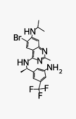 Cc1nc(N[C@H](C)c2cc(N)cc(C(F)(F)F)c2)c2cc(Br)c(NC(C)C)cc2n1